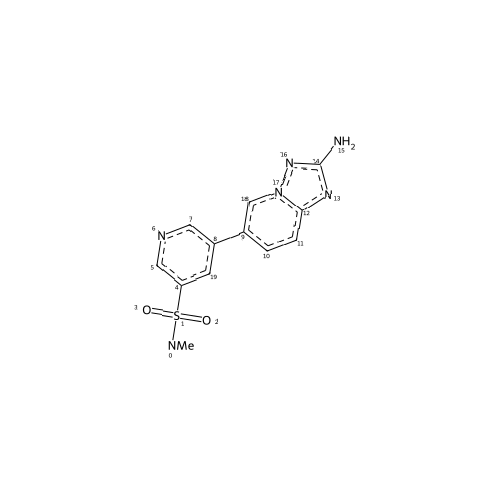 CNS(=O)(=O)c1cncc(-c2ccc3nc(N)nn3c2)c1